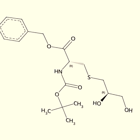 CC(C)(C)OC(=O)N[C@@H](CSC[C@H](O)CO)C(=O)OCc1ccccc1